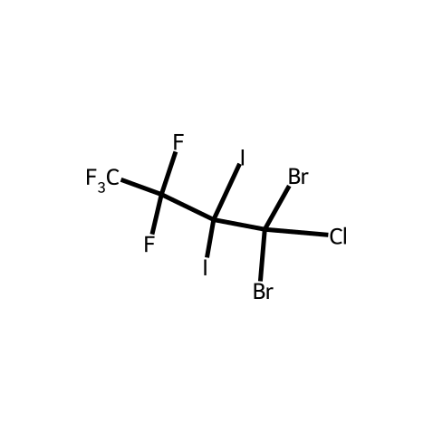 FC(F)(F)C(F)(F)C(I)(I)C(Cl)(Br)Br